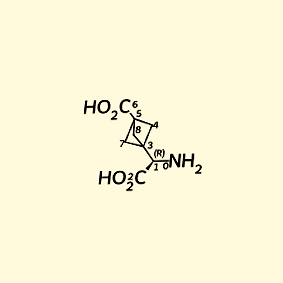 N[C@@H](C(=O)O)C12CC(C(=O)O)(C1)C2